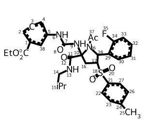 CCOC(=O)c1cccc(NC(=O)NC2(C(=O)NCC(C)C)CC(S(=O)(=O)c3ccc(C)cc3)C(c3ccccc3F)N2C(C)=O)c1